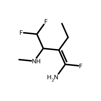 CC/C(=C(/N)F)C(NC)C(F)F